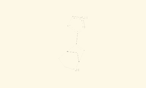 C1=C(c2cc[nH]c2)C2CCNC1C2